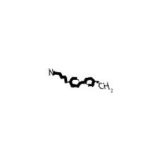 CC[C@H]1CC[C@H]([C@H]2CC[C@H](C=CC=CC#N)CC2)CC1